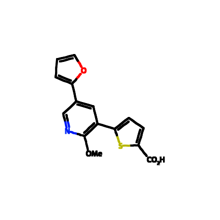 COc1ncc(-c2ccco2)cc1-c1ccc(C(=O)O)s1